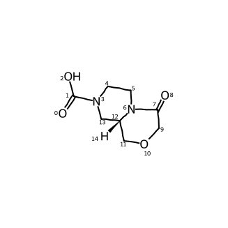 O=C(O)N1CCN2C(=O)COC[C@@H]2C1